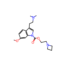 COc1ccc2c(CCN(C)C)cn(C(=O)OCCN3CCC3)c2c1